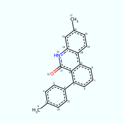 Cc1ccc(-c2cccc3c2c(=O)[nH]c2cc(C)ccc23)cc1